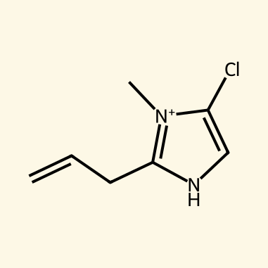 C=CCc1[nH]cc(Cl)[n+]1C